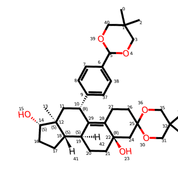 CC1(C)COC(c2ccc([C@H]3C[C@]4(C)[C@@H](O)CC[C@H]4[C@@H]4CC[C@@]5(O)CC6(CCC5=C43)OCC(C)(C)CO6)cc2)OC1